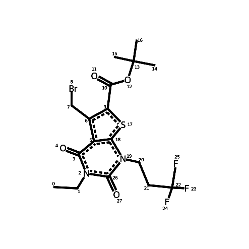 CCn1c(=O)c2c(CBr)c(C(=O)OC(C)(C)C)sc2n(CCC(F)(F)F)c1=O